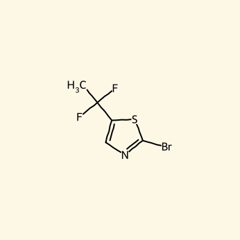 CC(F)(F)c1cnc(Br)s1